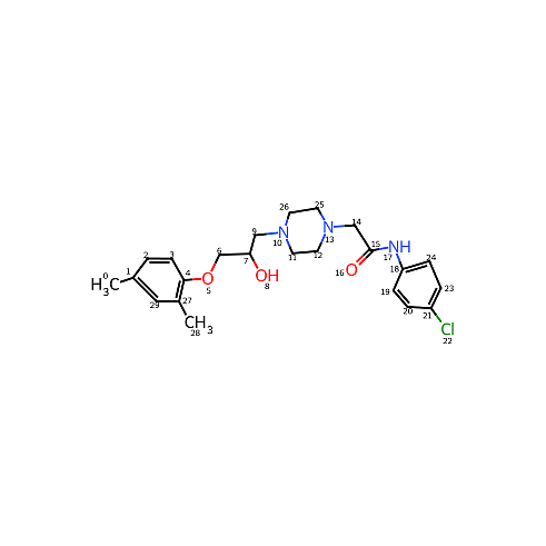 Cc1ccc(OCC(O)CN2CCN(CC(=O)Nc3ccc(Cl)cc3)CC2)c(C)c1